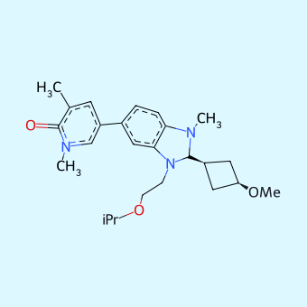 CO[C@H]1C[C@@H](C2N(C)c3ccc(-c4cc(C)c(=O)n(C)c4)cc3N2CCOC(C)C)C1